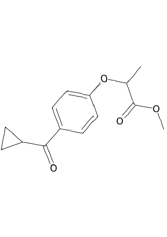 COC(=O)C(C)Oc1ccc(C(=O)C2CC2)cc1